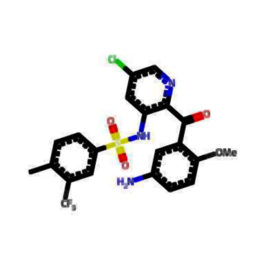 COc1ccc(N)cc1C(=O)c1ncc(Cl)cc1NS(=O)(=O)c1ccc(C)c(C(F)(F)F)c1